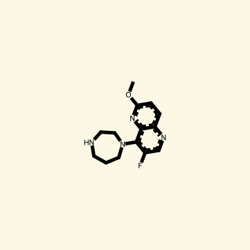 COc1ccc2ncc(F)c(N3CCCNCC3)c2n1